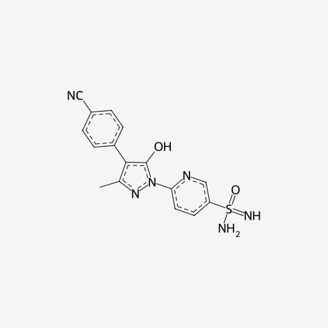 Cc1nn(-c2ccc(S(=N)(N)=O)cn2)c(O)c1-c1ccc(C#N)cc1